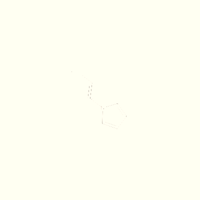 CC(=O)OC=Cn1cccc1